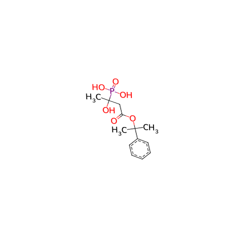 CC(C)(OC(=O)CC(C)(O)P(=O)(O)O)c1ccccc1